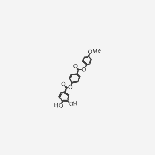 COc1ccc(OC(=O)c2ccc(OC(=O)c3ccc(O)c(O)c3)cc2)cc1